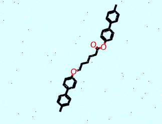 Cc1ccc(-c2ccc(OCCCCCC(=O)Oc3ccc(-c4ccc(C)cc4)cc3)cc2)cc1